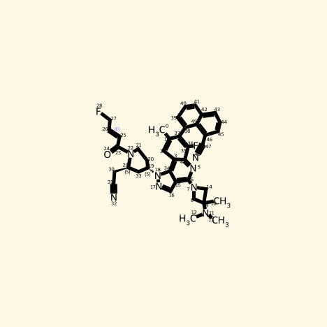 Cc1cc2c(nc(N3CC(C)(N(C)C)C3)c3cnn([C@H]4CCN(C(=O)/C=C/CF)[C@H](CC#N)C4)c32)c(F)c1-c1cccc2cccc(C#N)c12